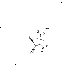 CCOC(=O)C(C(C#N)C#N)C(C)(C)C(=O)OCC